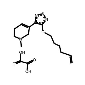 C=CCCCCOc1nsnc1C1=CCCN(C)C1.O=C(O)C(=O)O